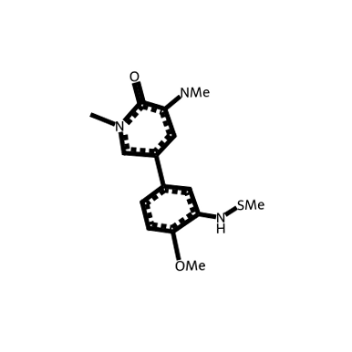 CNc1cc(-c2ccc(OC)c(NSC)c2)cn(C)c1=O